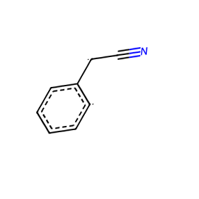 N#C[CH]c1[c]cccc1